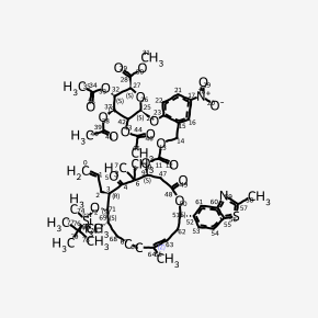 C=CC[C@H]1C(=O)C(C)(C)[C@@H](OC(=O)OCc2cc([N+](=O)[O-])ccc2O[C@@H]2O[C@H](C(=O)OC)[C@@H](OC(C)=O)[C@H](OC(C)=O)C2OC(C)=O)CC(=O)O[C@H](c2ccc3sc(C)nc3c2)C/C=C(/C)CCC[C@H](C)[C@@H]1O[Si](C)(C)C(C)(C)C